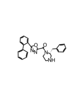 O=C(c1nnc(-c2ccccc2-c2ccccc2)o1)N1CCNC[C@H]1Cc1ccccc1